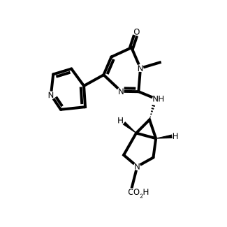 Cn1c(N[C@@H]2[C@@H]3CN(C(=O)O)C[C@@H]32)nc(-c2ccncc2)cc1=O